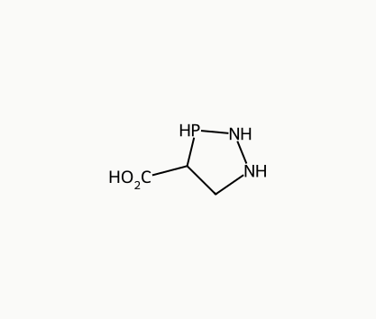 O=C(O)C1CNNP1